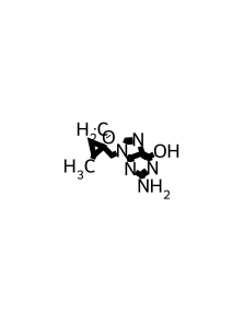 [CH2]OC1(Cn2cnc3c(O)nc(N)nc32)CC1C